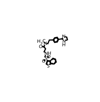 CN(CCc1ccc(C2=NCCN2)cc1)C(=O)CCNCS(=O)(=O)c1csc2ccccc12